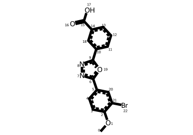 COc1ccc(-c2nnc(-c3cccc(C(=O)O)c3)o2)cc1Br